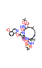 CC[C@@H]1C[C@@H](C)CC/C=C\[C@@H]2C[C@@]2(C(=O)NS(=O)(=O)C2(C)CC2)NC(=O)[C@@H]2C[C@@H](Oc3nccc4c(OC)cccc34)CN2C(=O)[C@H]1NC(=O)OC(C)(C)C